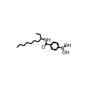 CCCCCCCC(CC)NC(=O)c1ccc(B(O)O)cc1